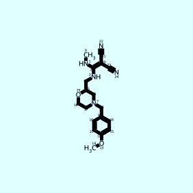 CNC(NCC1CN(Cc2ccc(OC)cc2)CCO1)=C(C#N)C#N